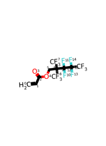 C=CC(=O)OCC(C(F)(F)F)(C(F)(F)F)C(F)(F)C(F)(F)C(F)(F)F